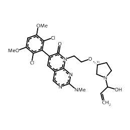 C=CC(O)N1CC[C@@H](OCCn2c(=O)c(-c3c(Cl)c(OC)cc(OC)c3Cl)cc3cnc(NC)nc32)C1